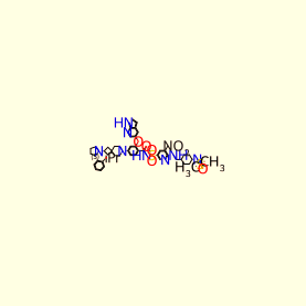 CC(C)c1ccccc1[C@@H]1CCCN1C1CC2(CCN(c3ccc(C(=O)NS(=O)(=O)c4cnc(NCC5CCC(N=S(C)(C)=O)CC5)c([N+](=O)[O-])c4)c(Oc4cnc5[nH]ccc5c4)c3)CC2)C1